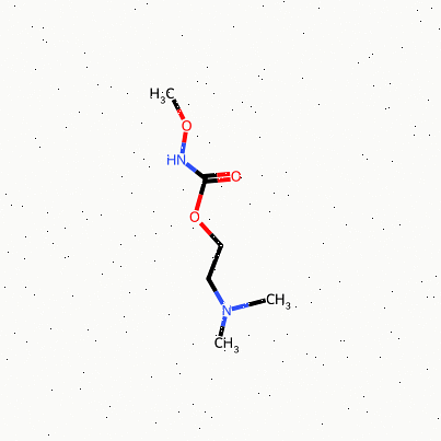 CONC(=O)OCCN(C)C